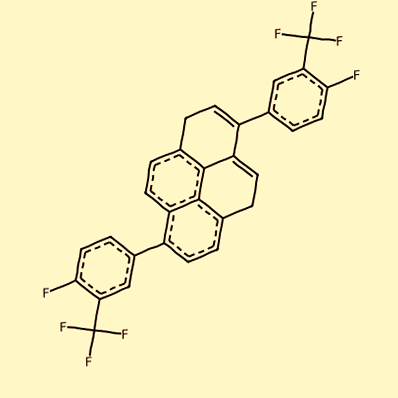 Fc1ccc(C2=CCc3ccc4c(-c5ccc(F)c(C(F)(F)F)c5)ccc5c4c3C2=CC5)cc1C(F)(F)F